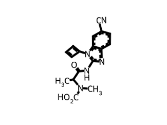 CC(C(=O)Nc1nc2ccc(C#N)cc2n1C1=CC=C1)N(C)C(=O)O